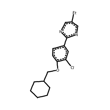 CCc1cnc(-c2ccc(OCC3CC[CH]CC3)c(Cl)c2)nc1